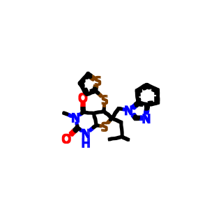 CC(C)CC1(Cn2cnc3ccccc32)SC2NC(=O)N(C)C(=O)C2C1Sc1cccs1